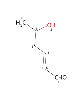 CC(O)CC=CC=O